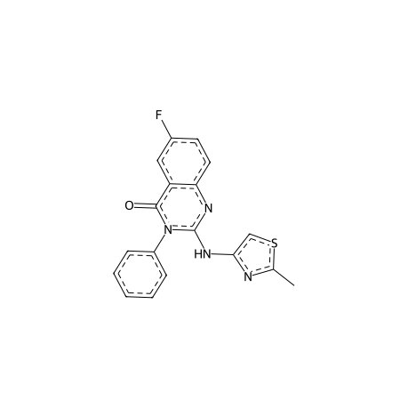 Cc1nc(Nc2nc3ccc(F)cc3c(=O)n2-c2ccccc2)cs1